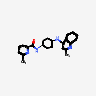 Cc1cccc(C(=O)N[C@H]2CC[C@@H](Nc3cc(C(F)(F)F)nc4ccccc34)CC2)n1